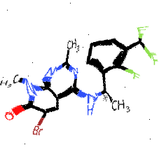 Cc1nc(N[C@H](C)c2cccc(C(F)F)c2F)c2cc(Br)c(=O)n(C)c2n1